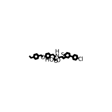 CCc1ccc(COc2ccc(CC(NC(=O)c3cc4cc(-c5ccc(Cl)cc5)ccc4s3)C(=O)O)cc2)cc1